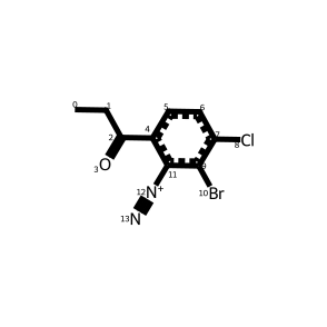 CCC(=O)c1ccc(Cl)c(Br)c1[N+]#N